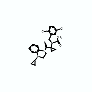 NC(=O)N(Cc1cc(Cl)ccc1Cl)C1(C(=O)N2CCN(C3CC3)c3ccccc32)CC1